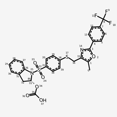 Cc1oc(-c2ccc(C(F)(F)F)cc2)nc1CSc1ccc(S(=O)(=O)N2c3ccccc3C[C@H]2OC(=O)O)cc1